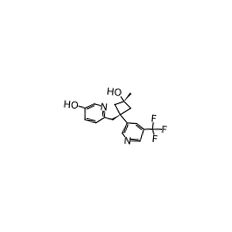 C[C@]1(O)C[C@@](Cc2ccc(O)cn2)(c2cncc(C(F)(F)F)c2)C1